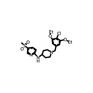 CCOc1cc(CN2CCC(Nc3ccc(S(C)(=O)=O)cn3)CC2)cc(OCC)c1Cl